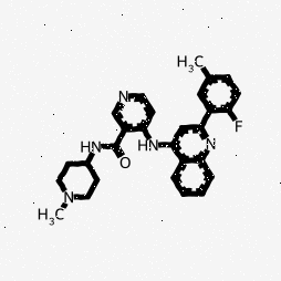 Cc1ccc(F)c(-c2cc(Nc3ccncc3C(=O)NC3CCN(C)CC3)c3ccccc3n2)c1